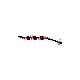 C=CC(=O)C(O)CCCCCCCCCCOc1ccc(OCc2ccc(OC(=O)c3ccc(OCCCCCC)cc3)cc2)cc1